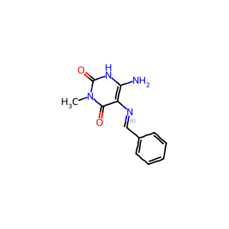 Cn1c(=O)[nH]c(N)c(/N=C/c2ccccc2)c1=O